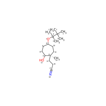 CC(C)(C)[Si](C)(C)OC1CCC(O)[C@](C)(CCC#N)CC1